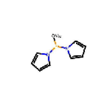 COP(n1cccc1)n1cccc1